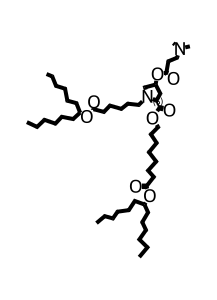 CCCCCCC(CCCCCC)OC(=O)CCCCCCCOC(=O)[C@@H]1CC(OC(=O)CCN(C)C)CN1CCCCCC(=O)OC(CCCCCC)CCCCCC